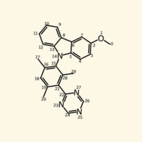 COc1ccc2c(c1)c1ccccc1n2-c1c(C)cc(C)c(-c2ncncn2)c1C